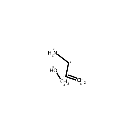 C=CCN.CO